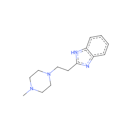 CN1CCN(CCc2nc3ccccc3[nH]2)CC1